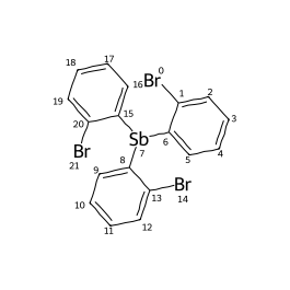 Brc1cccc[c]1[Sb]([c]1ccccc1Br)[c]1ccccc1Br